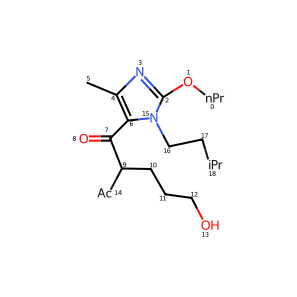 CCCOc1nc(C)c(C(=O)C(CCCO)C(C)=O)n1CCC(C)C